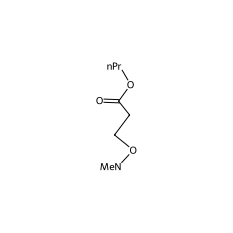 CCCOC(=O)CCONC